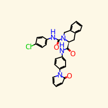 O=C(Nc1ccc(-n2ccccc2=O)cc1)[C@@H]1Cc2ccccc2CN1C(=O)Nc1ccc(Cl)cc1